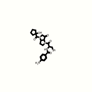 CC(C)CC(NC(=O)c1ccc(N)cc1)C(=O)N1CCC2C1C(=O)CN2C(=O)C1(O)CCCC1